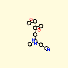 c1ccc(-c2nc(-c3ccc(-c4ccncc4)cc3)cc(-c3ccc(-c4ccc(-c5cccc6oc7ccccc7c56)c5c4oc4ccccc45)cc3)n2)cc1